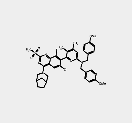 COc1ccc(CN(Cc2ccc(OC)cc2)c2cc(C)c(C(F)(F)F)c(-c3c(Cl)cc4c(N5CC6CCC(C6)C5)nc(S(C)(=O)=O)nc4c3F)n2)cc1